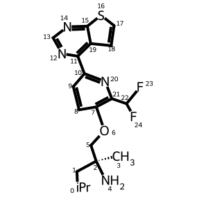 CC(C)C[C@](C)(N)COc1ccc(-c2ncnc3sccc23)nc1C(F)F